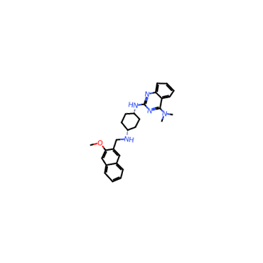 COc1cc2ccccc2cc1CN[C@H]1CC[C@@H](Nc2nc(N(C)C)c3ccccc3n2)CC1